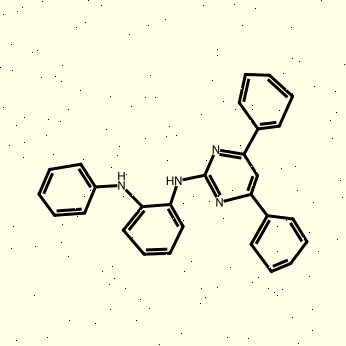 c1ccc(Nc2ccccc2Nc2nc(-c3ccccc3)cc(-c3ccccc3)n2)cc1